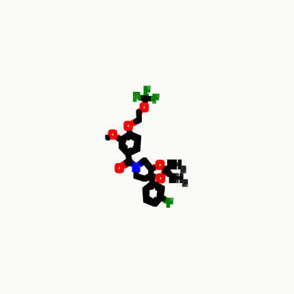 BC1(B)OC2CN(C(=O)c3ccc(OCCOC(F)(F)F)c(OC)c3)CCC2(c2cccc(F)c2)O1